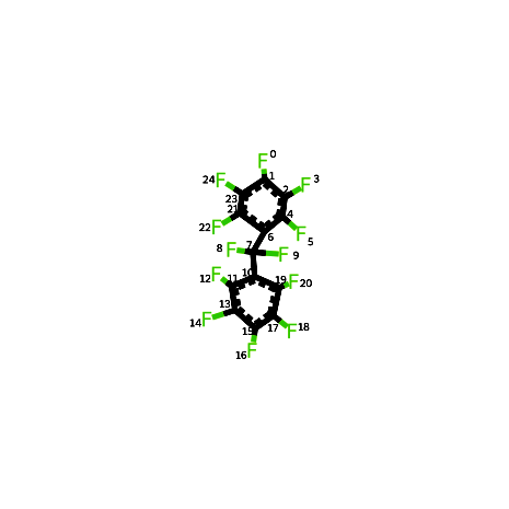 Fc1c(F)c(F)c(C(F)(F)c2c(F)c(F)c(F)c(F)c2F)c(F)c1F